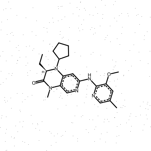 CC[C@@H]1C(=O)N(C)c2cnc(Nc3ncc(C)cc3OC)cc2N1C1CCCC1